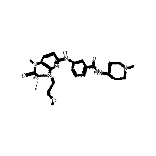 COCCN1c2nc(Nc3cccc(C(=O)NC4CCN(C)CC4)c3)ccc2N(C)C(=O)[C@H]1C